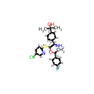 C=C(O/C(Sc1ccc(Cl)cn1)=C(\N)c1ccc(C(C)(C)O)cc1)c1ccc(F)cc1